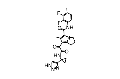 Cc1ccc(NC(=O)c2c(C)c(C(=O)C(=O)NC3(c4c[nH]nn4)CC3)c3n2CCC3)c(F)c1F